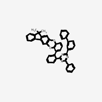 CC1(C)c2ccccc2-c2cc3c(cc21)Oc1cccc(-c2ccccc2-c2nc(-c4ccccc4)nc(-c4cccc(-c5ccccc5)c4)n2)c1O3